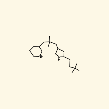 CC(C)(C)CCC1CC(CC(C)(C)CC2CCCNC2)CN1